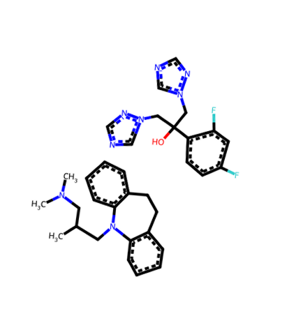 CC(CN(C)C)CN1c2ccccc2CCc2ccccc21.OC(Cn1cncn1)(Cn1cncn1)c1ccc(F)cc1F